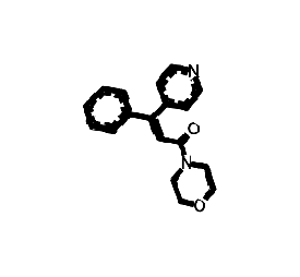 O=C(C=C(c1ccccc1)c1ccncc1)N1CCOCC1